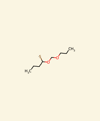 CCCOCOC([S])CCC